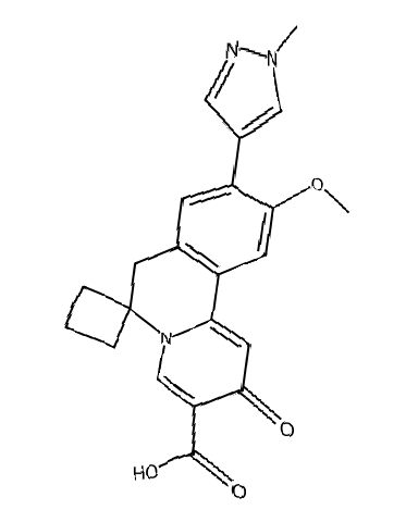 COc1cc2c(cc1-c1cnn(C)c1)CC1(CCC1)n1cc(C(=O)O)c(=O)cc1-2